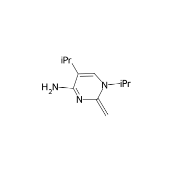 C=C1N=C(N)C(C(C)C)=CN1C(C)C